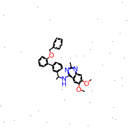 COc1cc2nc(C)nc(NC(C)c3cccc(-c4ccccc4OCc4ccccc4)c3)c2cc1OC